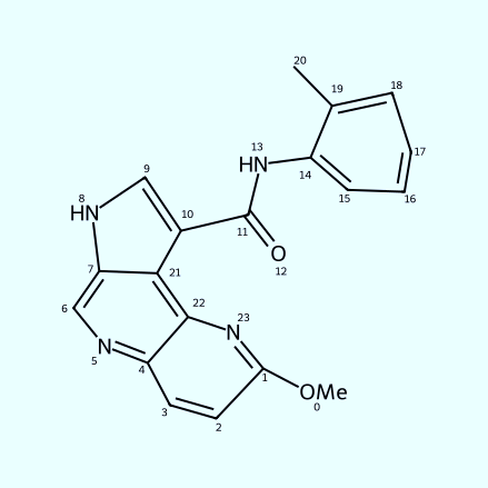 COc1ccc2ncc3[nH]cc(C(=O)Nc4ccccc4C)c3c2n1